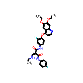 CCN/C=C(\C(=O)Nc1ccc(F)cc1)C(=O)Nc1ccc(Oc2ccnc3cc(OCC)c(OCC)cc23)c(F)c1